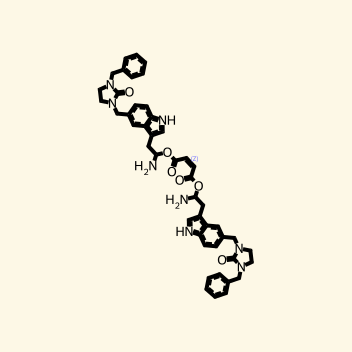 NC(Cc1c[nH]c2ccc(CN3CCN(Cc4ccccc4)C3=O)cc12)OC(=O)/C=C\C(=O)OC(N)Cc1c[nH]c2ccc(CN3CCN(Cc4ccccc4)C3=O)cc12